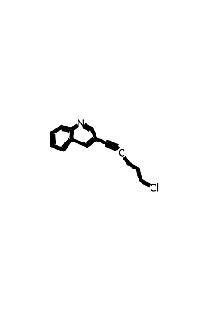 ClCCCCC#Cc1cnc2ccccc2c1